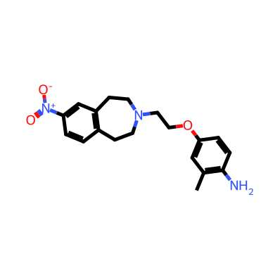 Cc1cc(OCCN2CCc3ccc([N+](=O)[O-])cc3CC2)ccc1N